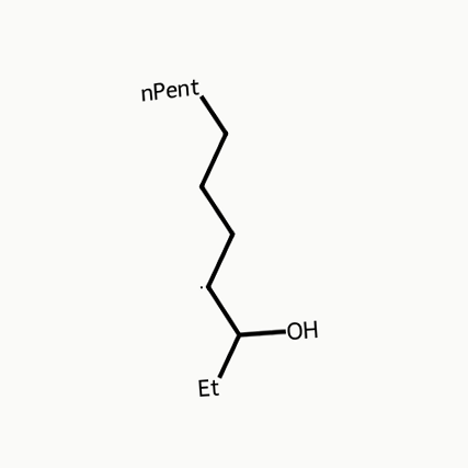 CCCCCCCC[CH]C(O)CC